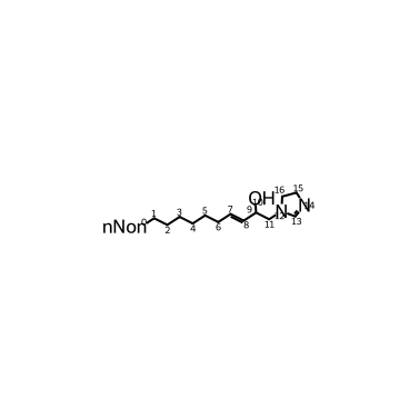 CCCCCCCCCCCCCCCC=CC(O)CN1C=NCC1